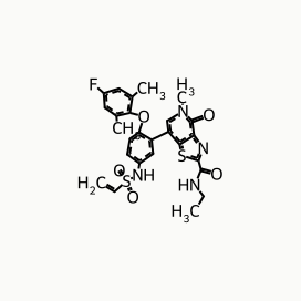 C=CS(=O)(=O)Nc1ccc(Oc2c(C)cc(F)cc2C)c(-c2cn(C)c(=O)c3nc(C(=O)NCC)sc23)c1